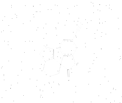 N#Cc1ccc2c(c1)NC(=O)C21CCCn2cncc21